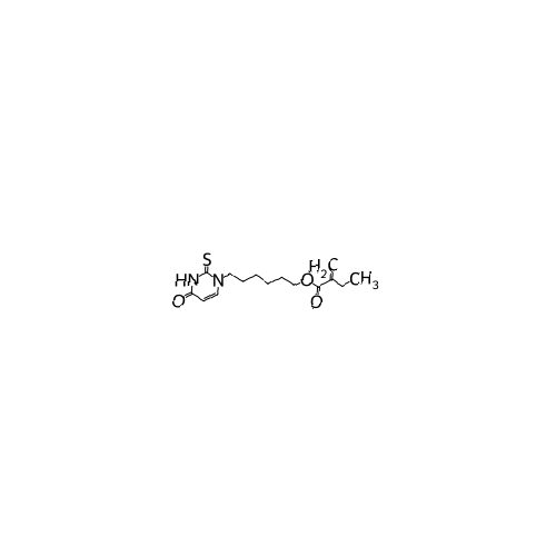 C=C(CC)C(=O)OCCCCCCn1ccc(=O)[nH]c1=S